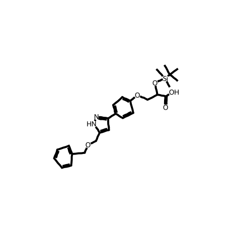 CC(C)(C)[Si](C)(C)OC(COc1ccc(-c2cc(COCc3ccccc3)[nH]n2)cc1)C(=O)O